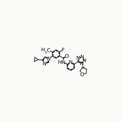 Cc1cc(F)c(C(=O)Nc2cccc(-c3nnnn3[C@@H]3CCOC3)n2)cc1-n1cnc(C2CC2)c1